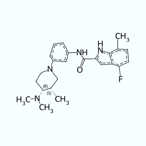 Cc1ccc(F)c2cc(C(=O)Nc3cccc(N4CC[C@@H](N(C)C)[C@@H](C)C4)c3)[nH]c12